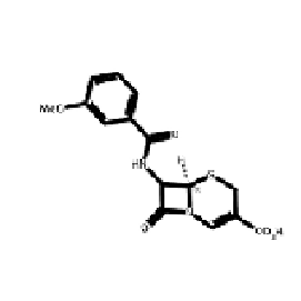 COc1cccc(C(=O)NC2C(=O)N3C=C(C(=O)O)CS[C@H]23)c1